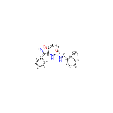 Cc1onc(-c2ccccc2)c1NC(=O)NCc1ccccc1C(F)(F)F